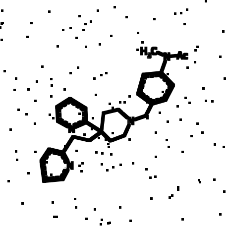 CC(=O)N(C)c1ccc(CN2CCC(CCc3ccccn3)(c3ccccn3)CC2)cc1